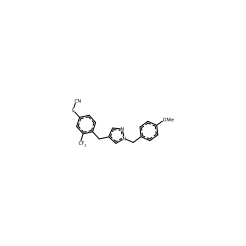 COc1ccc(Cn2cc(Cc3ccc(SC#N)cc3C(F)(F)F)cn2)cc1